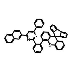 c1ccc(-c2cc(-c3ccc4ccccc4c3)nc(-c3ccccc3-c3cccc4c3Sc3ccccc3C43c4ccccc4-c4ccccc43)n2)cc1